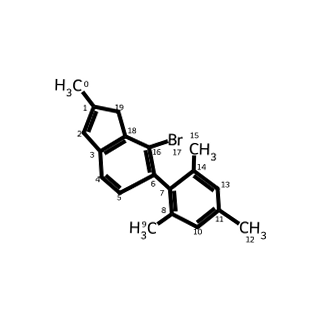 CC1=Cc2ccc(-c3c(C)cc(C)cc3C)c(Br)c2C1